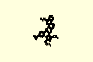 CCn1cc(N(Cc2ccc3c4c(c(N)nc3c2)COC4)C(=O)c2ccc(C3CC3)nc2)c(C)n1